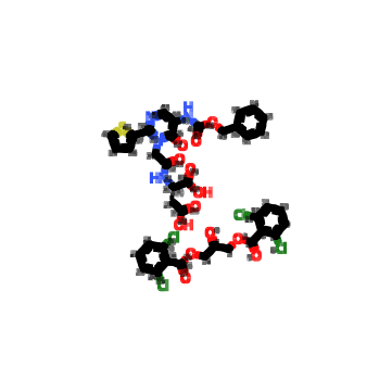 O=C(COC(=O)c1c(Cl)cccc1Cl)COC(=O)c1c(Cl)cccc1Cl.O=C(O)C[C@H](NC(=O)Cn1c(-c2cccs2)ncc(NC(=O)OCc2ccccc2)c1=O)C(=O)O